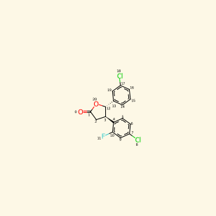 O=C1C[C@H](c2ccc(Cl)cc2F)[C@@H](c2cccc(Cl)c2)O1